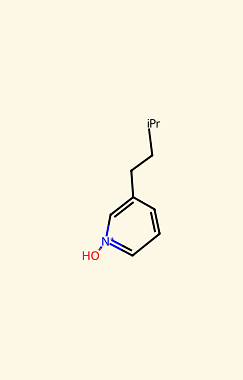 CC(C)CCc1ccc[n+](O)c1